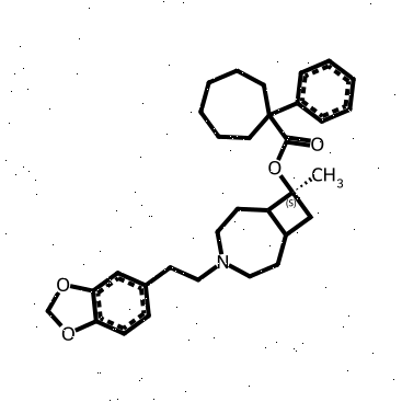 C[C@]1(OC(=O)C2(c3ccccc3)CCCCCC2)CC2CCN(CCc3ccc4c(c3)OCO4)CCC21